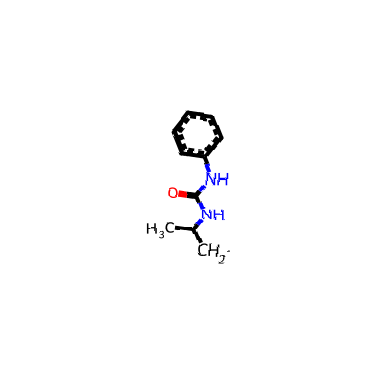 [CH2]C(C)NC(=O)Nc1ccccc1